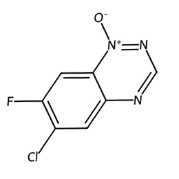 [O-][n+]1ncnc2cc(Cl)c(F)cc21